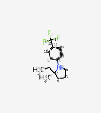 CC[C@]1(C)CCCN1c1ccc(C(F)(F)F)cc1